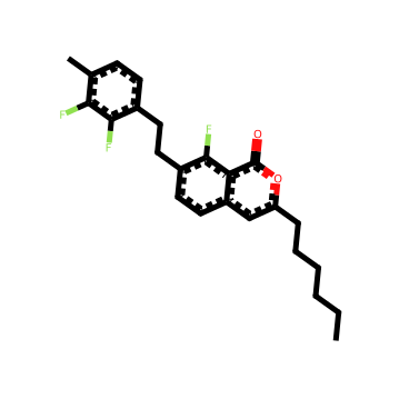 CCCCCCc1cc2ccc(CCc3ccc(C)c(F)c3F)c(F)c2c(=O)o1